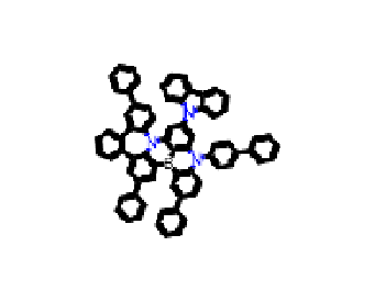 c1ccc(-c2ccc(N3c4ccc(-c5ccccc5)cc4B4c5cc(-c6ccccc6)cc6c5N(c5ccc(-c7ccccc7)cc5-c5ccccc5-6)c5cc(-n6c7ccccc7c7ccccc76)cc3c54)cc2)cc1